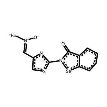 CC(C)(C)[N+]([O-])=Cc1csc(-n2[se]c3ccccc3c2=O)n1